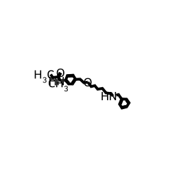 CC(C)C(=O)Nc1ccc(CCOCCCCCCNCc2ccccc2)cc1